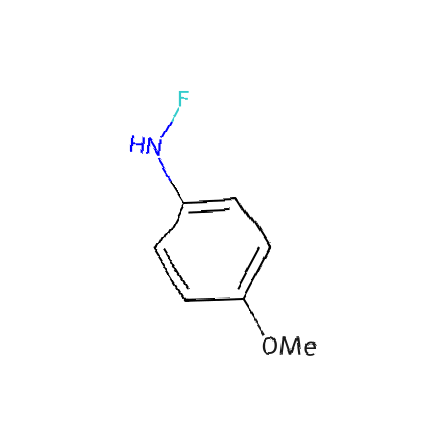 COc1ccc(NF)cc1